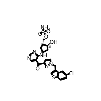 NS(=O)(=O)OC[C@H]1C[C@@H](Nc2ncncc2C(=O)c2ccn(Cc3csc4ccc(Cl)cc34)n2)C[C@@H]1O